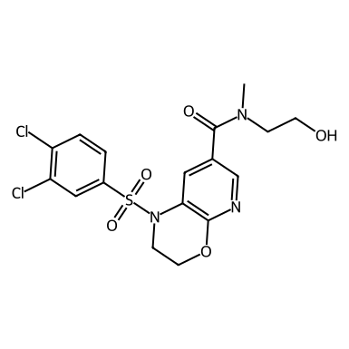 CN(CCO)C(=O)c1cnc2c(c1)N(S(=O)(=O)c1ccc(Cl)c(Cl)c1)CCO2